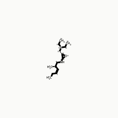 CC/C=C\[C@@H](C)CNC1O[C@H]1CN(CC)CC